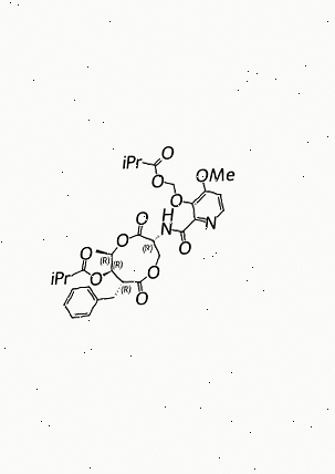 COc1ccnc(C(=O)N[C@@H]2COC(=O)[C@H](Cc3ccccc3)[C@@H](OC(=O)C(C)C)[C@@H](C)OC2=O)c1OCOC(=O)C(C)C